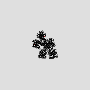 c1ccc([Si](c2ccccc2)(c2ccccc2)c2cccc(-c3cccc(N4c5cc(-c6cccc([Si](c7ccccc7)(c7ccccc7)c7ccccc7)c6)ccc5B5c6ccc(-c7cccc([Si](c8ccccc8)(c8ccccc8)c8ccccc8)c7)cc6N(c6cccc(-c7cccc([Si](c8ccccc8)(c8ccccc8)c8ccccc8)c7)c6)c6cc(-n7c8ccccc8c8ccccc87)cc4c65)c3)c2)cc1